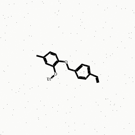 C=Cc1ccc(COc2ccc(C)cc2OCC)cc1